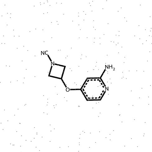 N#CN1CC(Oc2ccnc(N)c2)C1